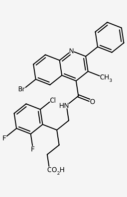 Cc1c(-c2ccccc2)nc2ccc(Br)cc2c1C(=O)NCC(CCC(=O)O)c1c(Cl)ccc(F)c1F